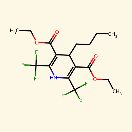 CCCCC1C(C(=O)OCC)=C(C(F)(F)F)NC(C(F)(F)F)=C1C(=O)OCC